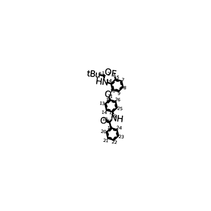 CC(C)(C)C(=O)Nc1c(F)cccc1Oc1ccc(NC(=O)c2ccccc2)cc1